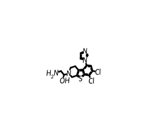 NCC(O)N1CCc2c(sc3c(Cl)c(Cl)cc(-n4ccnc4)c23)C1